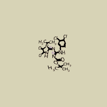 CC(C)N1C(=O)C(=O)N/C1=N\C(=N\C(=O)OC(C)(C)C)Nc1ccc(Cl)c(Cl)c1